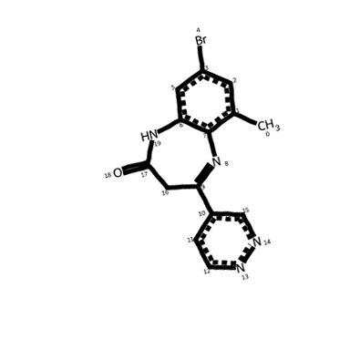 Cc1cc(Br)cc2c1N=C(c1ccnnc1)CC(=O)N2